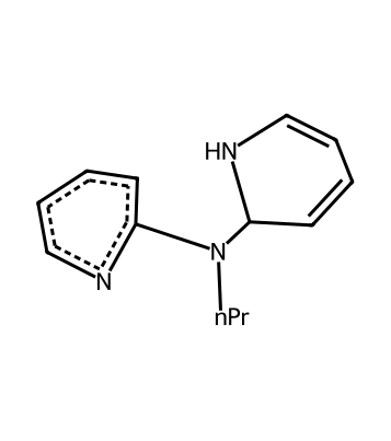 CCCN(c1ccccn1)C1C=CC=CN1